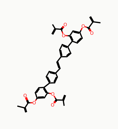 C=C(C)C(=O)Oc1ccc(-c2ccc(/C=C/c3ccc(-c4ccc(OC(=O)C(=C)C)cc4OC(=O)C(=C)C)cc3)cc2)c(OC(=O)C(=C)C)c1